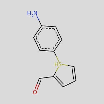 Nc1ccc([SH]2C=CC=C2C=O)cc1